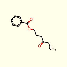 CCC(=O)CCCOC(=O)c1ccccc1